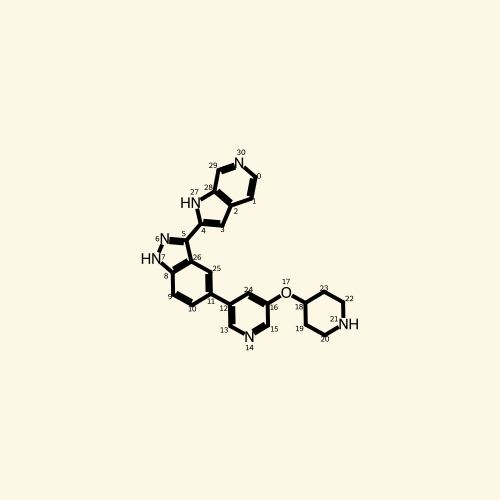 c1cc2cc(-c3n[nH]c4ccc(-c5cncc(OC6CCNCC6)c5)cc34)[nH]c2cn1